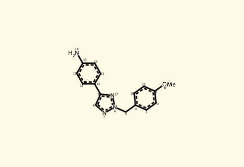 COc1ccc(Cn2ncc(-c3ccc(N)cc3)n2)cc1